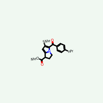 CCCc1ccc(C(=O)c2c(SC)cc3n2CCC3C(=O)OC)cc1